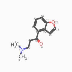 CN(C)CCC(=O)c1cccc2occc12